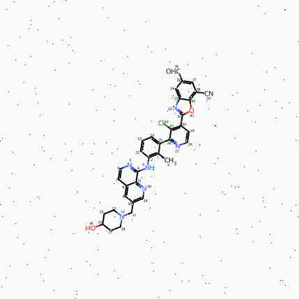 Cc1c(Nc2nccc3cc(CN4CCC(O)CC4)cnc23)cccc1-c1nccc(-c2nc3cc(C=O)cc(C#N)c3o2)c1Cl